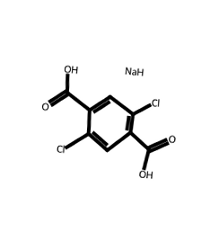 O=C(O)c1cc(Cl)c(C(=O)O)cc1Cl.[NaH]